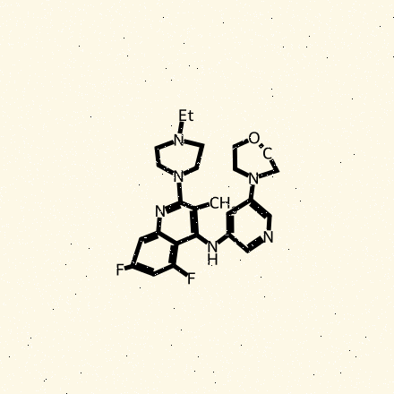 CCN1CCN(c2nc3cc(F)cc(F)c3c(Nc3cncc(N4CCOCC4)c3)c2C)CC1